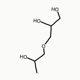 [CH2]C(O)COCC(O)CO